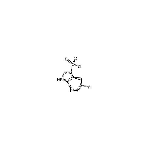 O=S(=O)(Cl)c1c[nH]c2ncc(Cl)cc12